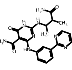 CC(Nc1nc(Nc2cccc(-c3ncccn3)c2)c(C(N)=O)c(=O)[nH]1)C(C)C(N)=O